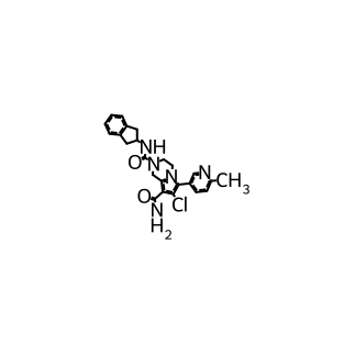 Cc1ccc(-c2c(Cl)c(C(N)=O)c3n2CCN(C(=O)NC2Cc4ccccc4C2)C3)cn1